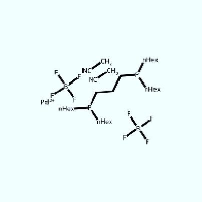 CC#N.CC#N.CCCCCCP(CCCCCC)CCCP(CCCCCC)CCCCCC.F[B-](F)(F)F.F[B-](F)(F)F.[Pd+2]